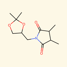 CC1C(=O)N(CC2COC(C)(C)O2)C(=O)C1C